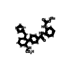 CC(C)(C)OC(=O)Nc1ccccc1NC(=O)c1ccc(C2C(Cc3cncs3)CCCC2NC(=O)O)cc1